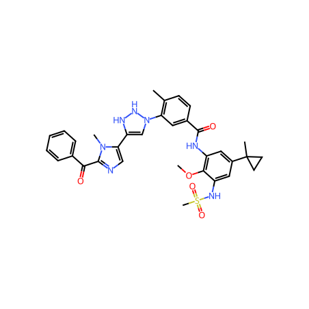 COc1c(NC(=O)c2ccc(C)c(N3C=C(c4cnc(C(=O)c5ccccc5)n4C)NN3)c2)cc(C2(C)CC2)cc1NS(C)(=O)=O